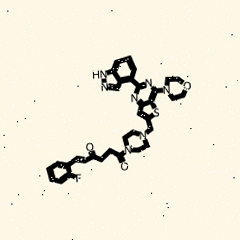 O=C(C=Cc1ccccc1F)CCC(=O)N1CCN(Cc2cc3nc(-c4cccc5[nH]ncc45)nc(N4CCOCC4)c3s2)CC1